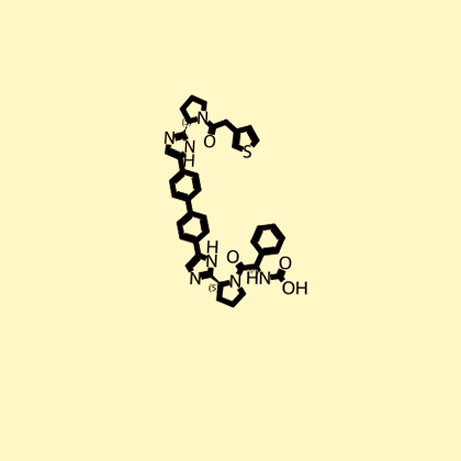 O=C(O)N[C@@H](C(=O)N1CCC[C@H]1c1ncc(-c2ccc(-c3ccc(-c4cnc([C@@H]5CCCN5C(=O)Cc5ccsc5)[nH]4)cc3)cc2)[nH]1)c1ccccc1